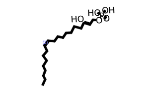 CCCCCCCC/C=C\CCCCCCCC(O)=CCOP(=O)(O)O